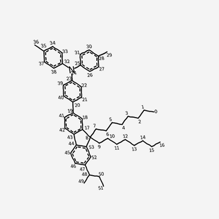 CCCCCCCCC1(CCCCCCCC)c2cc(-c3ccc(N(c4ccc(C)cc4)c4ccc(C)cc4)cc3)ccc2-c2ccc(C(C)CC)cc21